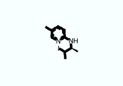 Cc1ccc(N[C@@H](C)C(C)I)nc1